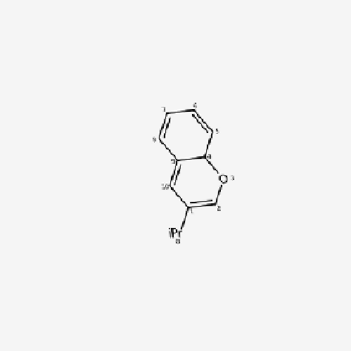 CC(C)C1=COC2C=CC=CC2=C1